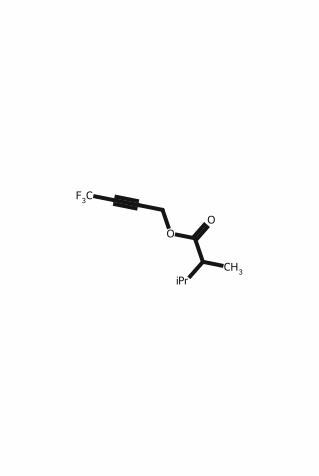 CC(C)C(C)C(=O)OCC#CC(F)(F)F